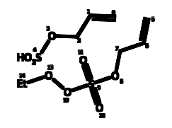 C=CCOS(=O)(=O)O.C=CCOS(=O)(=O)OOCC